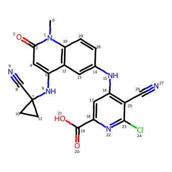 Cn1c(=O)cc(NC2(C#N)CC2)c2cc(Nc3cc(C(=O)O)nc(Cl)c3C#N)ccc21